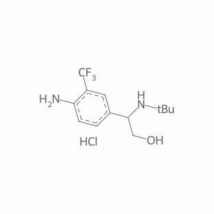 CC(C)(C)NC(CO)c1ccc(N)c(C(F)(F)F)c1.Cl